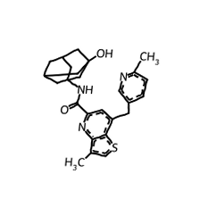 Cc1ccc(Cc2cc(C(=O)NC34CC5CC(CC(O)(C5)C3)C4)nc3c(C)csc23)cn1